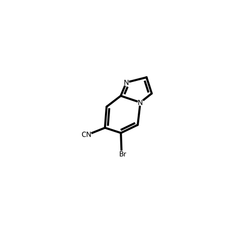 [C-]#[N+]c1cc2nccn2cc1Br